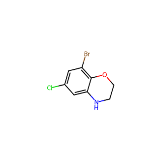 Clc1cc(Br)c2c(c1)NCCO2